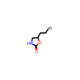 CC(C)CCC1CNC(=O)O1